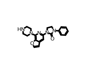 O=C1N(c2ccccc2)CCN1c1cc2ccoc2c(N2CCNCC2)n1